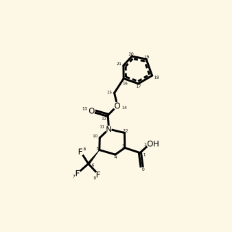 C=C(O)C1C[C@@H](C(F)(F)F)CN(C(=O)OCc2ccccc2)C1